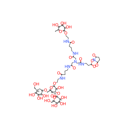 C[C@@H]1O[C@@H](OCCNC(=O)CCCNC(=O)CN(CC(=O)NCCCC(=O)NCCO[C@H]2O[C@H](CO[C@H]3C[C@H](CO)[C@@H](O)[C@H](O)[C@@H]3O)[C@@H](O)[C@H](O[C@H]3O[C@H](CO)[C@@H](O)[C@H](O)[C@@H]3O)[C@@H]2O)CC(=O)NCCC(=O)ON2C(=O)CCC2=O)[C@@H](O)[C@H](O)[C@@H]1O